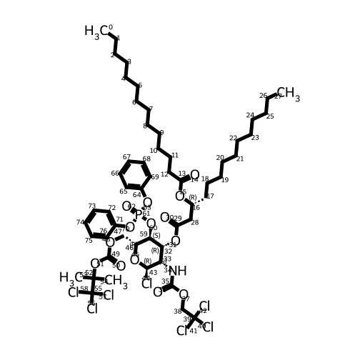 CCCCCCCCCCCCCC(=O)O[C@H](CCCCCCCCCCC)CC(=O)O[C@@H]1[C@H](NC(=O)OCC(Cl)(Cl)Cl)[C@@H](Cl)O[C@H](COC(=O)OC(C)(C)C(Cl)(Cl)Cl)[C@H]1OP(=O)(Oc1ccccc1)Oc1ccccc1